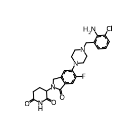 Nc1c(Cl)cccc1CN1CCN(c2cc3c(cc2F)C(=O)N(C2CCC(=O)NC2=O)C3)CC1